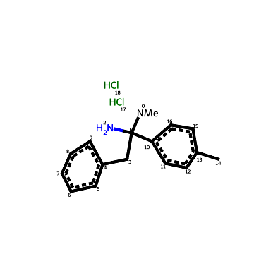 CNC(N)(Cc1ccccc1)c1ccc(C)cc1.Cl.Cl